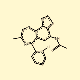 CC(=O)Nc1cc2c(-c3ccccc3Cl)nc(C)cnc2c2cnnc12